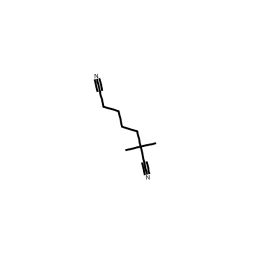 CC(C)(C#N)CCCCC#N